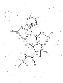 CC(=O)OC(Sc1ccccc1)[C@H]1OC(C)(C)N(C(=O)OC(C)(C)C)[C@H]1Cc1cc(F)cc(F)c1